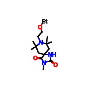 CCOCCN1C(C)(C)CC2(CC1(C)C)NC(=O)N(C)C2=O